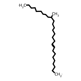 [CH2]CCCCCCCC=CCCCCCCCC(C)CCCCCCCC[CH2]